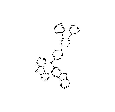 c1ccc2c(c1)oc1cccc(N(c3ccc(-c4ccc5c6ccccc6c6ccccc6c5c4)cc3)c3ccc4c(c3)sc3ccccc34)c12